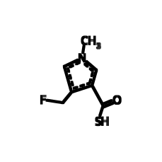 Cn1cc(CF)c(C(=O)S)c1